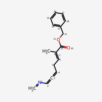 C=NC=C=CC/C=C(\C)C(=O)OCc1ccccc1